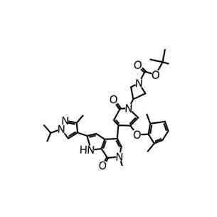 Cc1cccc(C)c1Oc1cn(C2CN(C(=O)OC(C)(C)C)C2)c(=O)cc1-c1cn(C)c(=O)c2[nH]c(-c3cn(C(C)C)nc3C)cc12